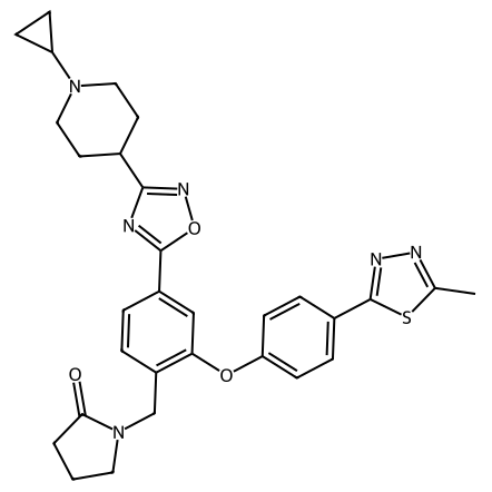 Cc1nnc(-c2ccc(Oc3cc(-c4nc(C5CCN(C6CC6)CC5)no4)ccc3CN3CCCC3=O)cc2)s1